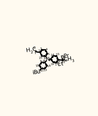 C=Cc1cccc(N(c2ccc(C(C)CC)cc2)c2ccc(C(C)(CC)CCC)cc2)c1